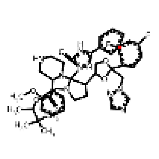 COc1ccccc1C1CNCCN1C1(n2nc(-c3ccccc3)[nH]c2=O)C(C2COC(Cn3cncn3)(c3ccc(F)cc3F)O2)CCN1CC(=O)OC(C)C(C)(C)C